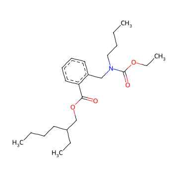 CCCCC(CC)COC(=O)c1ccccc1CN(CCCC)C(=O)OCC